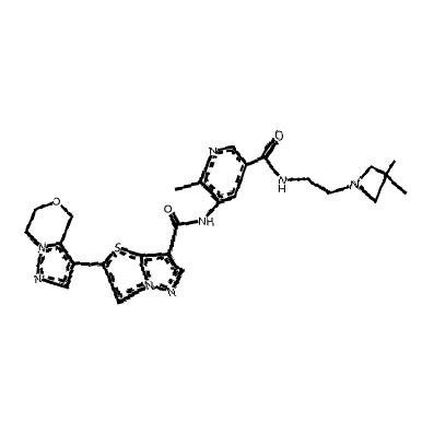 Cc1ncc(C(=O)NCCN2CC(C)(C)C2)cc1NC(=O)c1cnn2cc(-c3cnn4c3COCC4)sc12